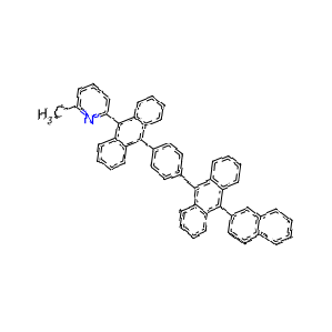 Cc1cccc(-c2c3ccccc3c(-c3ccc(-c4c5ccccc5c(-c5ccc6ccccc6c5)c5ccccc45)cc3)c3ccccc23)n1